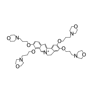 c1c2c(cc(OCCCN3CCOCC3)c1OCCCN1CCOCC1)-c1cc3ccc(OCCCN4CCOCC4)c(OCCCN4CCOCC4)c3c[n+]1CC2